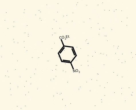 C[CH]OC(=O)c1ccc([N+](=O)[O-])cc1